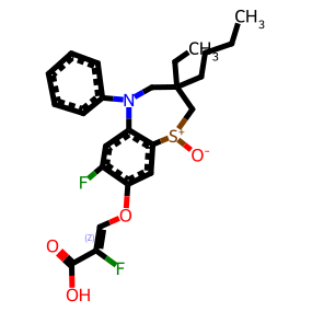 CCCCC1(CC)CN(c2ccccc2)c2cc(F)c(O/C=C(\F)C(=O)O)cc2[S+]([O-])C1